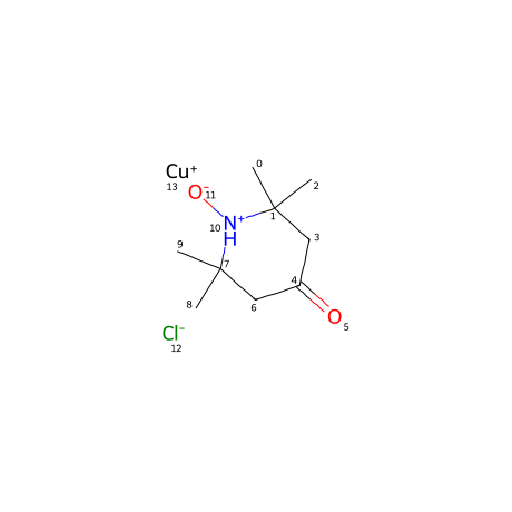 CC1(C)CC(=O)CC(C)(C)[NH+]1[O-].[Cl-].[Cu+]